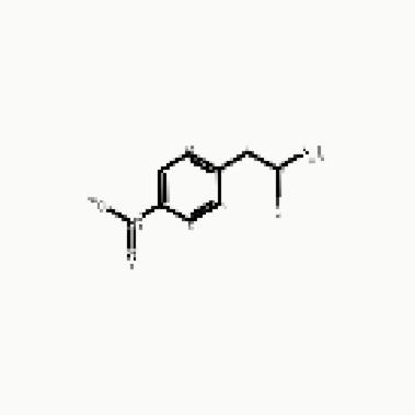 NC(I)Cc1ccc([N+](=O)[O-])cc1